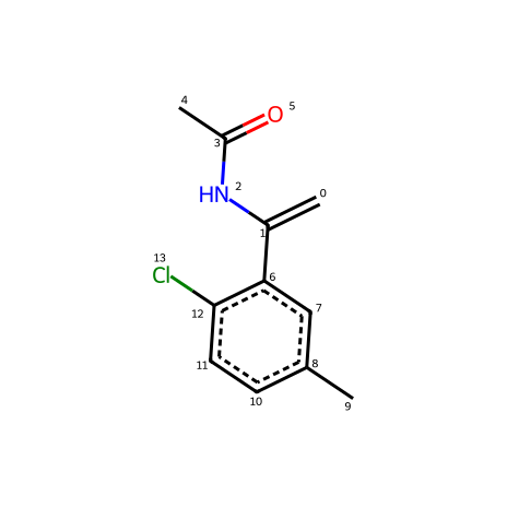 C=C(NC(C)=O)c1cc(C)ccc1Cl